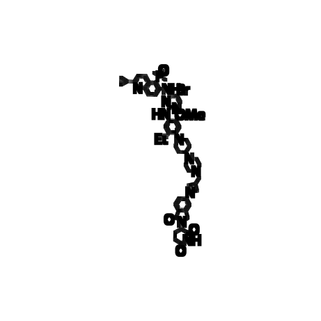 CCc1cc(Nc2ncc(Br)c(Nc3ccc4nc(C5CC5)ccc4c3P(C)(C)=O)n2)c(OC)cc1N1CCC(N2CCN(CC3CN(c4ccc5c(c4)CN(C4CCC(=O)NC4=O)C5=O)C3)CC2)CC1